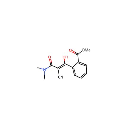 COC(=O)c1ccccc1/C(O)=C(\C#N)C(=O)N(C)C